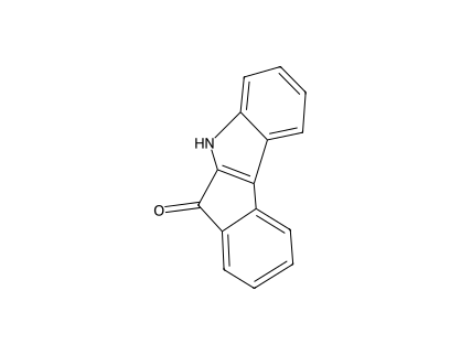 O=C1c2ccccc2-c2c1[nH]c1ccccc21